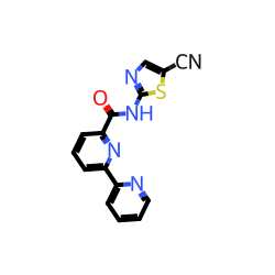 N#Cc1cnc(NC(=O)c2cccc(-c3ccccn3)n2)s1